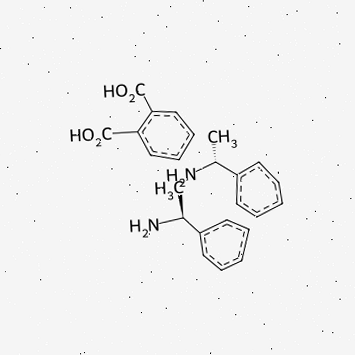 C[C@@H](N)c1ccccc1.C[C@H](N)c1ccccc1.O=C(O)c1ccccc1C(=O)O